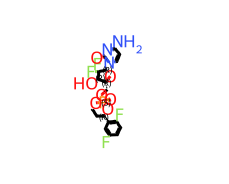 Nc1ccn([C@@H]2O[C@H](CO[P@]3(=O)OCC[C@H](c4cc(F)ccc4F)O3)[C@@H](O)C2(F)F)c(=O)n1